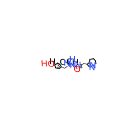 CN(C)[C@H](CNC(=O)NCCc1cnn2ccccc12)Cc1ccc(O)cc1